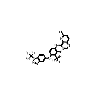 [2H]C([2H])([2H])c1c(Oc2ccc3c(c2)nnn3C([2H])([2H])[2H])ccc(Nc2ncnc3ccc(Cl)nc23)c1F